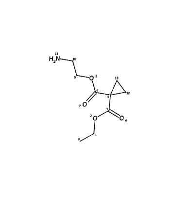 CCOC(=O)C1(C(=O)OCCN)CC1